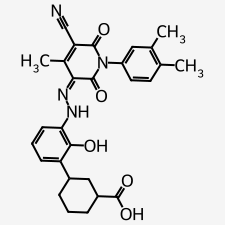 CC1=C(C#N)C(=O)N(c2ccc(C)c(C)c2)C(=O)C1=NNc1cccc(C2CCCC(C(=O)O)C2)c1O